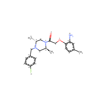 Cc1ccc(OCC(=O)N2C[C@@H](C)N(Cc3ccc(F)cc3)C[C@@H]2C)c(N)c1